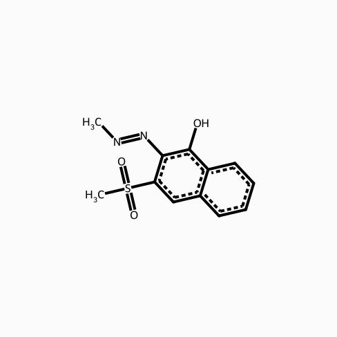 C/N=N/c1c(S(C)(=O)=O)cc2ccccc2c1O